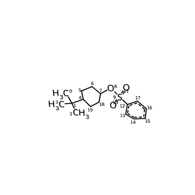 CC(C)(C)C1CCC(OS(=O)(=O)c2ccccc2)CC1